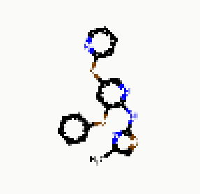 Cc1csc(Nc2ncc(Sc3ccccn3)cc2Sc2ccccc2)n1